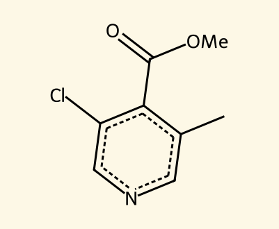 COC(=O)c1c(C)cncc1Cl